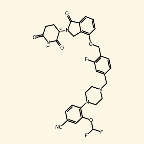 N#Cc1ccc(N2CCN(Cc3ccc(COc4cccc5c4CN([C@H]4CCC(=O)NC4=O)C5=O)c(F)c3)CC2)c(OC(F)F)c1